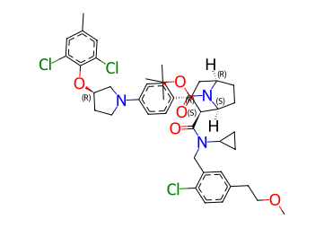 COCCc1ccc(Cl)c(CN(C(=O)[C@H]2[C@H](c3ccc(N4CC[C@@H](Oc5c(Cl)cc(C)cc5Cl)C4)cc3)C[C@H]3CC[C@@H]2N3C(=O)OC(C)(C)C)C2CC2)c1